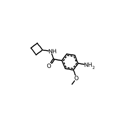 COc1cc(C(=O)NC2CCC2)ccc1N